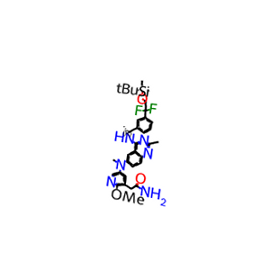 COc1ncc(N(C)c2ccc3nc(C)nc(N[C@H](C)c4cccc(C(F)(F)CO[Si](C)(C)C(C)(C)C)c4)c3c2)cc1CC(N)=O